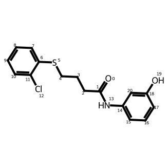 O=C(CCCSc1ccccc1Cl)Nc1cccc(O)c1